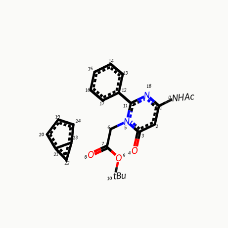 CC(=O)Nc1cc(=O)n(CC(=O)OC(C)(C)C)c(-c2ccccc2)n1.c1cc2cc-2c1